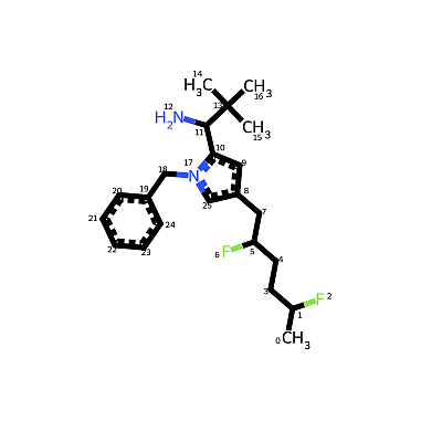 CC(F)CCC(F)Cc1cc(C(N)C(C)(C)C)n(Cc2ccccc2)c1